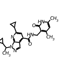 Cc1cc(C)c(CNC(=O)c2cc(C3CC3)nc3c2cnn3C(C)C2CC2)c(=O)[nH]1